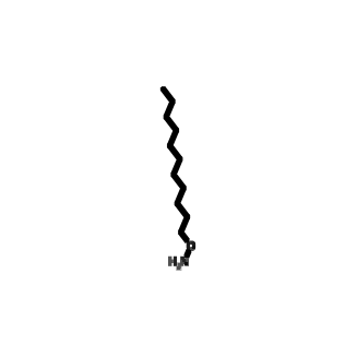 CCCCCCCCCCCON